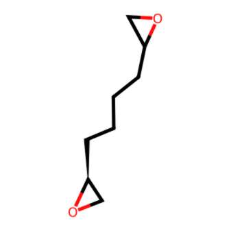 C(CC[C@H]1CO1)CC1CO1